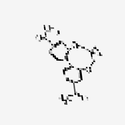 CC(=O)c1ccc2c(c1)OCC1(CC1)COc1cc(C(C)=O)ccc1-2